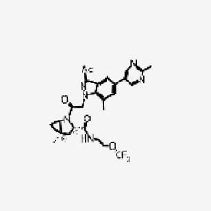 CC(=O)c1nn(CC(=O)N2C3C[C@]3(C)C[C@H]2C(=O)NCCOC(F)(F)F)c2c(C)cc(-c3cnc(C)nc3)cc12